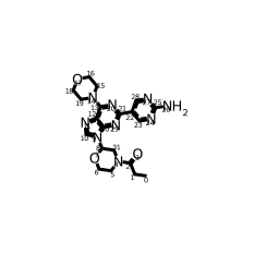 CCC(=O)N1CCOC(n2cnc3c(N4CCOCC4)nc(-c4cnc(N)nc4)nc32)C1